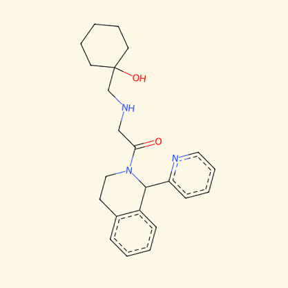 O=C(CNCC1(O)CCCCC1)N1CCc2ccccc2C1c1ccccn1